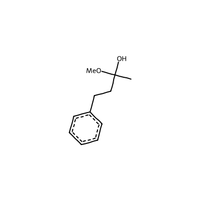 COC(C)(O)CCc1ccccc1